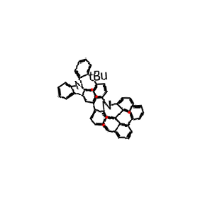 CC(C)(C)c1ccc(N(c2ccccc2-c2ccc3c(c2)c2ccccc2n3-c2ccccc2)c2ccccc2-c2cccc3cccc(-c4ccccc4)c23)cc1